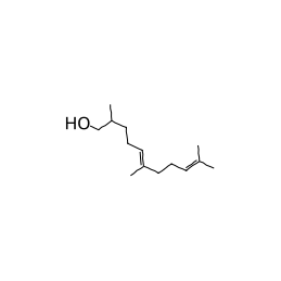 CC(C)=CCCC(C)=CCCC(C)CO